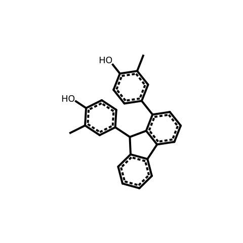 Cc1cc(-c2cccc3c2C(c2ccc(O)c(C)c2)c2ccccc2-3)ccc1O